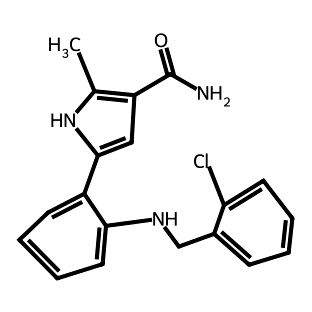 Cc1[nH]c(-c2ccccc2NCc2ccccc2Cl)cc1C(N)=O